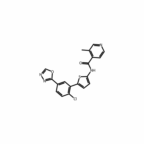 Cc1cnccc1C(=O)Nc1ccc(-c2cc(-c3nnco3)ccc2Cl)s1